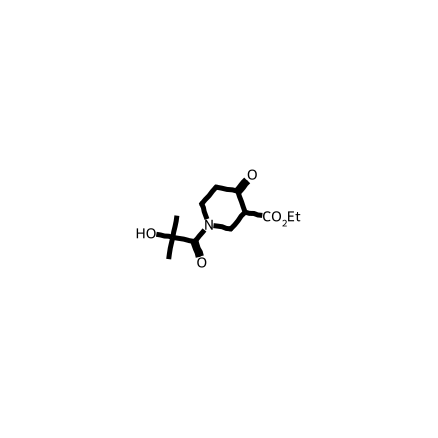 CCOC(=O)C1CN(C(=O)C(C)(C)O)CCC1=O